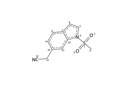 CS(=O)(=O)n1ccc2ccc(CC#N)cc21